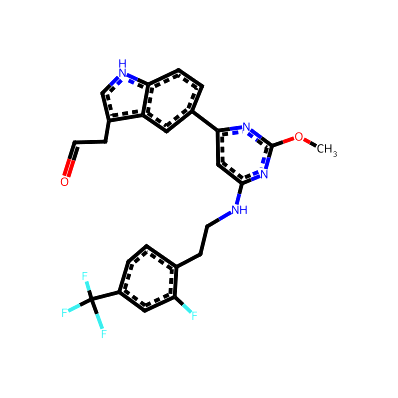 COc1nc(NCCc2ccc(C(F)(F)F)cc2F)cc(-c2ccc3[nH]cc(CC=O)c3c2)n1